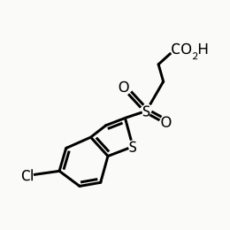 O=C(O)CCS(=O)(=O)c1cc2cc(Cl)ccc2s1